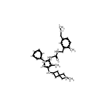 COCc1ccc(C)c(CNC(=O)Nc2c(C)c(OC3CC4(C3)CN(C)C4)nn2-c2ccccc2)c1